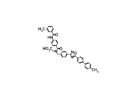 Cc1ccc(-c2ccc(-c3nc(-c4ccc(CN(CC(=O)O)C(=O)c5ccc(NC(=O)c6cccc(C)c6)cc5)cc4)no3)cc2)cc1